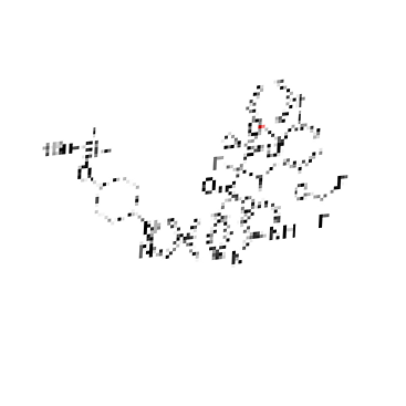 CC(C)(C)[Si](C)(C)OC1CCC(n2cc(-c3cnc4[nH]cc(C(c5c(OC(F)F)ccc(F)c5Cl)C(F)(S(=O)(=O)c5ccccc5)S(=O)(=O)c5ccccc5)c4c3)cn2)CC1